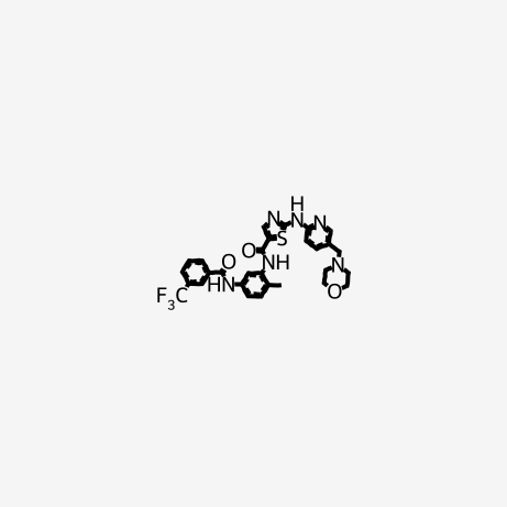 Cc1ccc(NC(=O)c2cccc(C(F)(F)F)c2)cc1NC(=O)c1cnc(Nc2ccc(CN3CCOCC3)cn2)s1